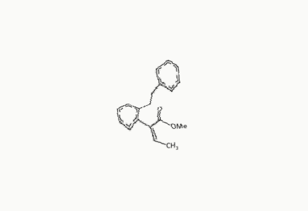 CC=C(C(=O)OC)c1ccccc1CCc1ccccc1